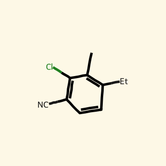 CCc1ccc(C#N)c(Cl)c1C